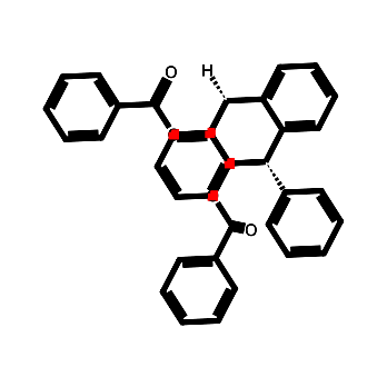 O=C(OC1C(OC(=O)c2ccccc2)[C@]2(c3ccccc3)c3ccccc3[C@H]1c1ccccc12)c1ccccc1